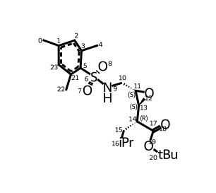 Cc1cc(C)c(S(=O)(=O)NC[C@@H]2O[C@H]2[C@@H](CC(C)C)C(=O)OC(C)(C)C)c(C)c1